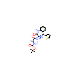 C[C@H](NC(=O)OC(C)(C)C)C(=O)NC1N=C(c2cccs2)c2ccccc2N(C)C1=O